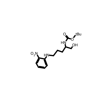 CC(C)(C)OC(=O)NC(CO)CCCNc1ccccc1[N+](=O)[O-]